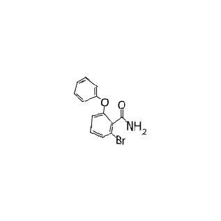 NC(=O)c1c(Br)cccc1Oc1ccccc1